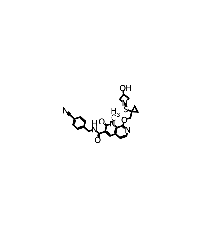 Cn1c(=O)c(C(=O)NCc2ccc(C#N)cc2)cc2ccnc(OCC3(SN4CC(O)C4)CC3)c21